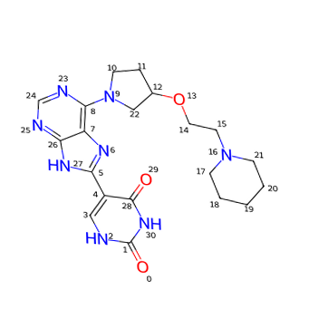 O=c1[nH]cc(-c2nc3c(N4CCC(OCCN5CCCCC5)C4)ncnc3[nH]2)c(=O)[nH]1